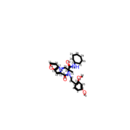 COc1ccc(CCN2C(=O)c3cc4occc4n3CC2(C)C(=O)NC2CCCCCC2)c(OC)c1